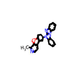 Cc1nccc2c1oc1ccc(-n3c4ccccc4n4c5ccccc5nc34)cc12